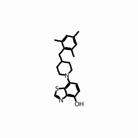 Cc1cc(C)c(CC2CCN(c3ccc(O)c4ncsc34)CC2)c(C)c1